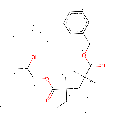 CCC(C)(CC(C)(C)C(=O)OCc1ccccc1)C(=O)OCC(C)O